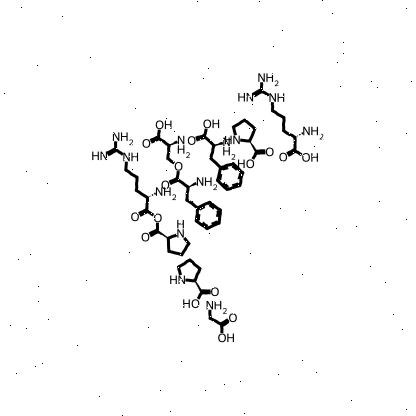 N=C(N)NCCC[C@H](N)C(=O)O.N=C(N)NCCC[C@H](N)C(=O)OC(=O)[C@@H]1CCCN1.NCC(=O)O.N[C@@H](COC(=O)[C@@H](N)Cc1ccccc1)C(=O)O.N[C@@H](Cc1ccccc1)C(=O)O.O=C(O)[C@@H]1CCCN1.O=C(O)[C@@H]1CCCN1